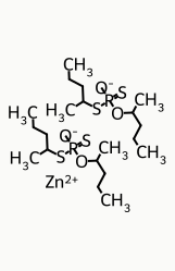 CCCC(C)OP([O-])(=S)SC(C)CCC.CCCC(C)OP([O-])(=S)SC(C)CCC.[Zn+2]